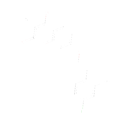 CCCc1cc(F)ccc1CCOc1ccc2c(O)c([N+](=O)[O-])c(=O)oc2c1